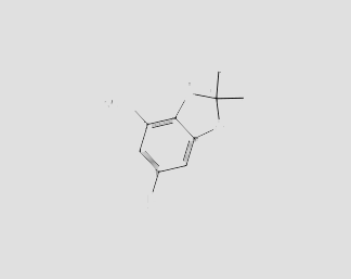 COc1cc(Br)cc2c1OC(C)(C)O2